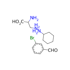 NC1CCCCC1.NCC(N)C(=O)O.O=Cc1cccc(Br)c1